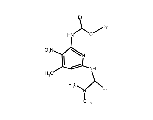 CCC(Nc1nc(NC(CC)N(C)C)cc(C)c1[N+](=O)[O-])OC(C)C